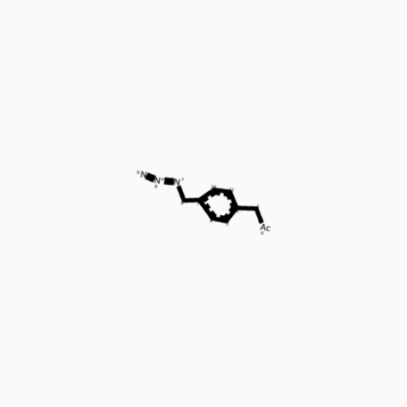 CC(=O)Cc1ccc(CN=[N+]=[N-])cc1